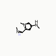 C/N=C\c1cc(NC)cn1C